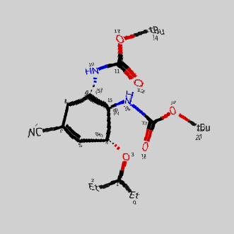 CCC(CC)O[C@@H]1C=C(C#N)C[C@H](NC(=O)OC(C)(C)C)[C@H]1NC(=O)OC(C)(C)C